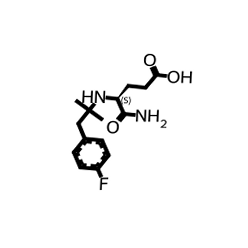 CC(C)(Cc1ccc(F)cc1)N[C@@H](CCC(=O)O)C(N)=O